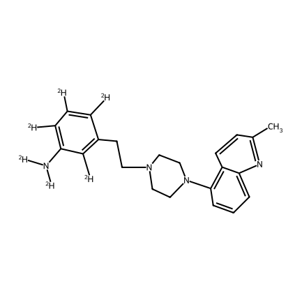 [2H]c1c([2H])c(CCN2CCN(c3cccc4nc(C)ccc34)CC2)c([2H])c(N([2H])[2H])c1[2H]